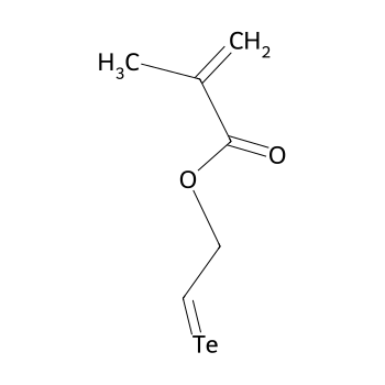 C=C(C)C(=O)OCC=[Te]